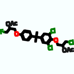 CC(=O)OC(CCl)COC1=C(Cl)C=C(C(C)(C)c2ccc(OCC(CF)OC(C)=O)cc2)CC1Cl